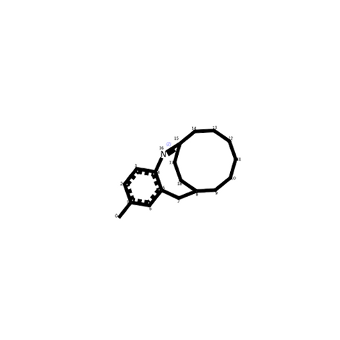 Cc1ccc2c(c1)CC1CCCCCC/C(=N/2)CC1